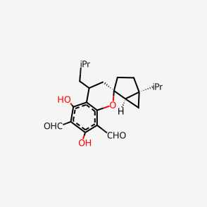 CC(C)CC1C[C@@]2(CC[C@@]3(C(C)C)C[C@@H]23)Oc2c(C=O)c(O)c(C=O)c(O)c21